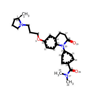 C[C@@H]1CCCN1CCCOc1ccc2c(c1)CCC(=O)N2c1ccc(C(=O)N(C)C)cc1